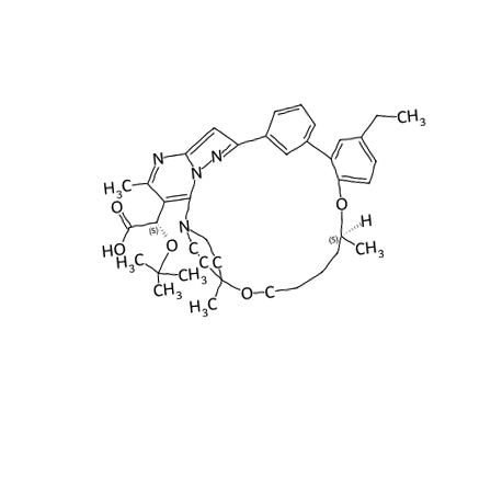 CCc1ccc2c(c1)-c1cccc(c1)-c1cc3nc(C)c([C@H](OC(C)(C)C)C(=O)O)c(n3n1)N1CCC(C)(CC1)OCCCC[C@H](C)O2